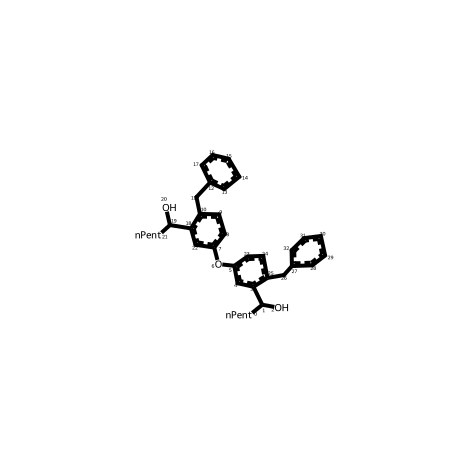 CCCCCC(O)c1cc(Oc2ccc(Cc3ccccc3)c(C(O)CCCCC)c2)ccc1Cc1ccccc1